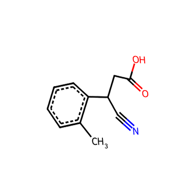 Cc1ccccc1C(C#N)CC(=O)O